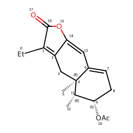 CCC1=C2C[C@@]3(C)C(=CC[C@H](OC(C)=O)[C@@H]3C)C=C2OC1=O